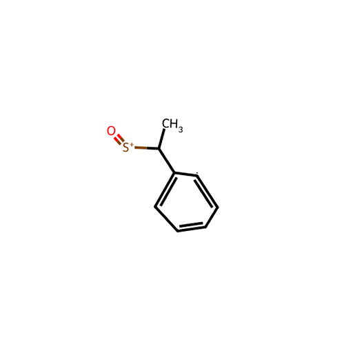 CC([S+]=O)c1[c]cccc1